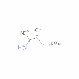 CSCCC(N)C#N.[Ce]